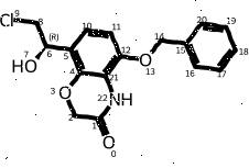 O=C1COc2c([C@@H](O)CCl)ccc(OCc3ccccc3)c2N1